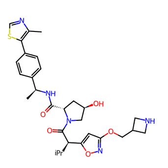 Cc1ncsc1-c1ccc([C@H](C)NC(=O)[C@@H]2C[C@@H](O)CN2C(=O)[C@@H](c2cc(OCC3CNC3)no2)C(C)C)cc1